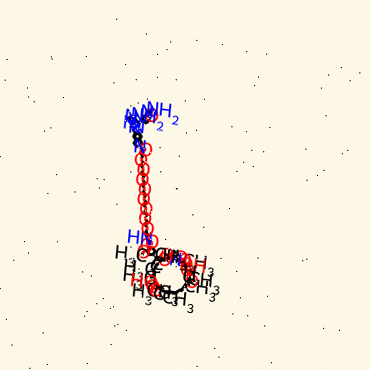 CO[C@H]1C[C@@H]2CC[C@@H](C)[C@@](O)(O2)C(=O)C(=O)N2CCCC[C@H]2C(=O)O[C@H]([C@H](C)C[C@@H]2CC[C@@H](OC(=O)NCCOCCOCCOCCOCCOCCOCCOCCOCCC(=O)N3CCc4cc(Cn5nc(-c6ccc7oc(N)nc7c6)c6c(N)ncnc65)ccc4C3)[C@H](OC)C2)CC[C@H](C)/C=C(\C)[C@@H](O)[C@@H](OC)C(=O)[C@H](C)C[C@H](C)/C=C/C=C/C=C/1C